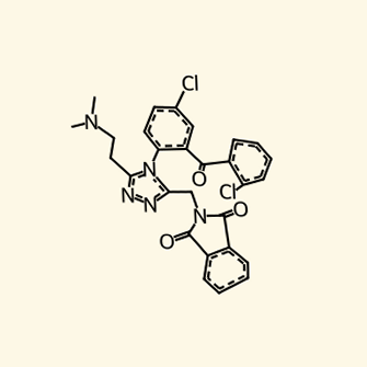 CN(C)CCc1nnc(CN2C(=O)c3ccccc3C2=O)n1-c1ccc(Cl)cc1C(=O)c1ccccc1Cl